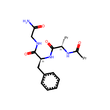 CC(C)C(=O)N[C@H](C(=O)N[C@@H](Cc1ccccc1)C(=O)NCC(N)=O)C(C)C